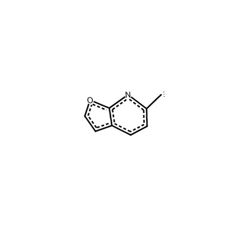 [C]c1ccc2ccoc2n1